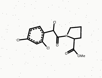 COC(=O)C1CCCN1C(=O)C(Cl)c1ccc(Cl)cc1Cl